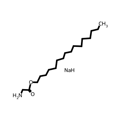 CCCCCCCCCCCCCCCCOC(=O)CN.[NaH]